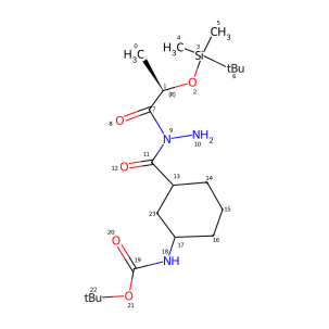 C[C@@H](O[Si](C)(C)C(C)(C)C)C(=O)N(N)C(=O)C1CCCC(NC(=O)OC(C)(C)C)C1